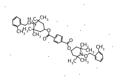 Cc1ccccc1CON1C(C)(C)CC(OC(=O)c2ccc(C(=O)OC3CC(C)(C)N(OCc4ccccc4C)C(C)(C)C3)cc2)CC1(C)C